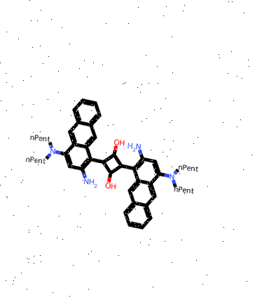 CCCCCN(CCCCC)c1cc(N)c(C2C(O)C(c3c(N)cc(N(CCCCC)CCCCC)c4cc5ccccc5cc34)C2O)c2cc3ccccc3cc12